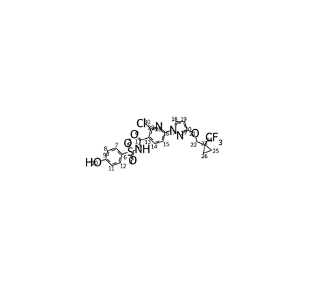 O=C(NS(=O)(=O)c1ccc(O)cc1)c1ccc(-n2ccc(OCC3(C(F)(F)F)CC3)n2)nc1Cl